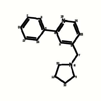 c1ccc(-c2cc(CN3CCCC3)ccn2)cc1